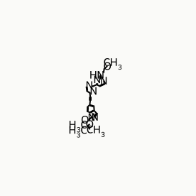 COCCNc1nccc(-c2nccc(C#Cc3ccc4c(cnn4C(=O)OC(C)(C)C)c3)n2)n1